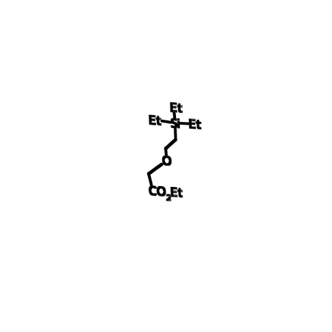 CCOC(=O)COCC[Si](CC)(CC)CC